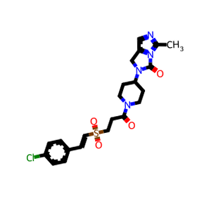 Cc1ncc2n1C(=O)N(C1CCN(C(=O)CCS(=O)(=O)/C=C/c3ccc(Cl)cc3)CC1)C2